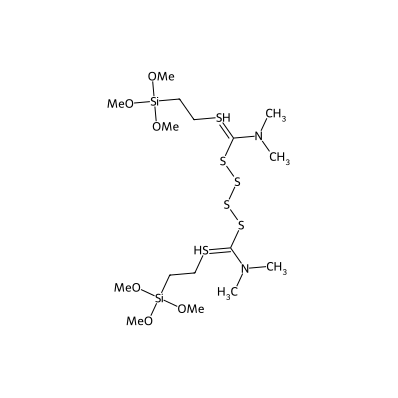 CO[Si](CC[SH]=C(SSSSC(=[SH]CC[Si](OC)(OC)OC)N(C)C)N(C)C)(OC)OC